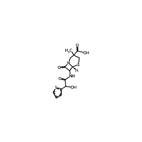 CC1(C(=O)O)CS[C@@H]2C(NC(=O)C(O)c3cccs3)C(=O)N2C1